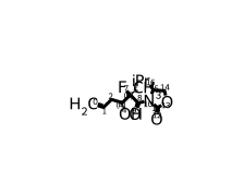 C=CC[C@@H](O)[C@@](C)(F)C(=O)N1C(=O)OCC1C(C)C